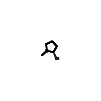 CC(=O)[C@H]1CCCN1C